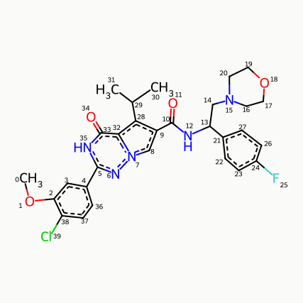 COc1cc(-c2nn3cc(C(=O)NC(CN4CCOCC4)c4ccc(F)cc4)c(C(C)C)c3c(=O)[nH]2)ccc1Cl